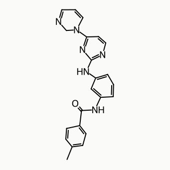 Cc1ccc(C(=O)Nc2cccc(Nc3nccc(N4C=CC=NC4)n3)c2)cc1